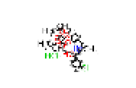 CC(Cc1ccc2c(c1)OC(C(=O)OC(C)C)(C(=O)OC(C)C)O2)NCC(O)c1cccc(Cl)c1.Cl